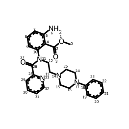 COC(=O)c1c(N)cccc1N(CCN1CCN(c2ccccc2)CC1)C(=O)c1ccccn1